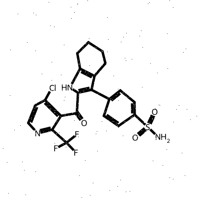 NS(=O)(=O)c1ccc(-c2c(C(=O)c3c(Cl)ccnc3C(F)(F)F)[nH]c3c2CCCC3)cc1